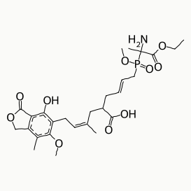 CCOC(=O)C(C)(N)P(=O)(CC=CCC(CC(C)=CCc1c(O)c2c(c(C)c1OC)COC2=O)C(=O)O)OC